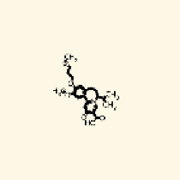 COCCCOc1cc2c(cc1OC)-c1cc(=O)c(C(=O)O)cn1C(C(C)C)CC2